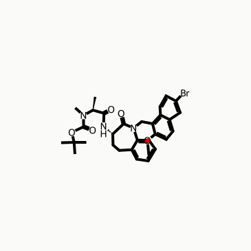 COc1ccc2cc(Br)ccc2c1CN1C(=O)[C@@H](NC(=O)[C@H](C)N(C)C(=O)OC(C)(C)C)CCc2ccccc21